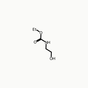 CCOC(=O)NCCO